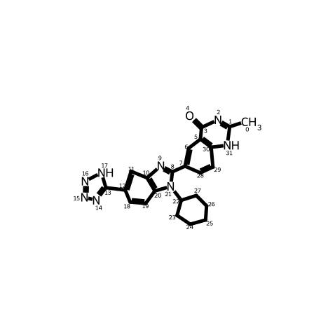 Cc1nc(=O)c2cc(-c3nc4cc(-c5nnn[nH]5)ccc4n3C3CCCCC3)ccc2[nH]1